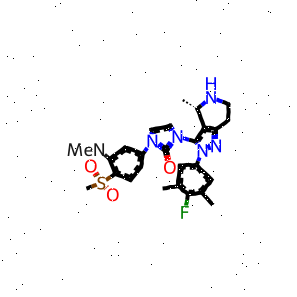 CNc1cc(-n2ccn(-c3c4c(nn3-c3cc(C)c(F)c(C)c3)CCN[C@H]4C)c2=O)ccc1S(C)(=O)=O